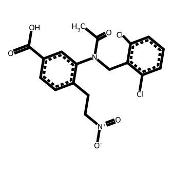 CC(=O)N(Cc1c(Cl)cccc1Cl)c1cc(C(=O)O)ccc1CC[N+](=O)[O-]